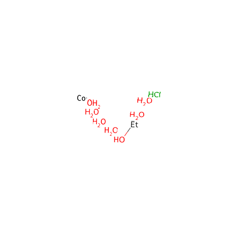 CCO.Cl.O.O.O.O.O.O.[Co]